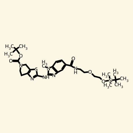 Cn1c(Nc2nc3c(s2)CN(C(=O)OC(C)(C)C)CC3)nc2cc(C(=O)NCCOCCO[Si](C)(C)C(C)(C)C)ccc21